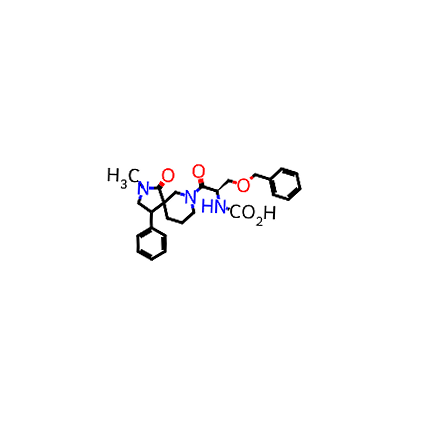 CN1CC(c2ccccc2)C2(CCCN(C(=O)[C@@H](COCc3ccccc3)NC(=O)O)C2)C1=O